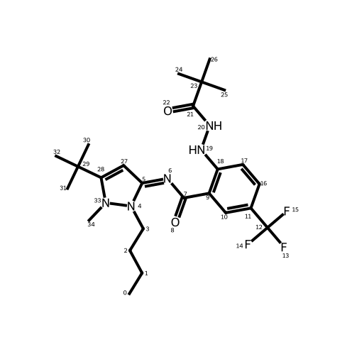 CCCCn1c(=NC(=O)c2cc(C(F)(F)F)ccc2NNC(=O)C(C)(C)C)cc(C(C)(C)C)n1C